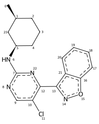 C[C@H]1CCC[C@@H](Nc2ncc(Cl)c(-c3noc4ccccc34)n2)C1